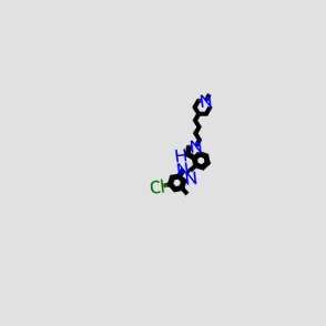 Cc1cc(Cl)cc2[nH]c(-c3cccc4c3ccn4CCCCC3CCN(C)CC3)nc12